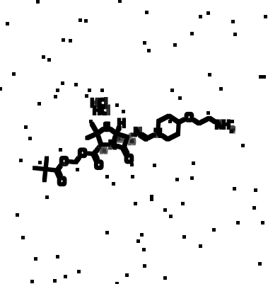 CC(C)(C)C(=O)OCOC(=O)[C@@H]1N2C(=O)[C@@H](N=CN3CCC(OCCN)CC3)[C@H]2SC1(C)C.Cl.Cl